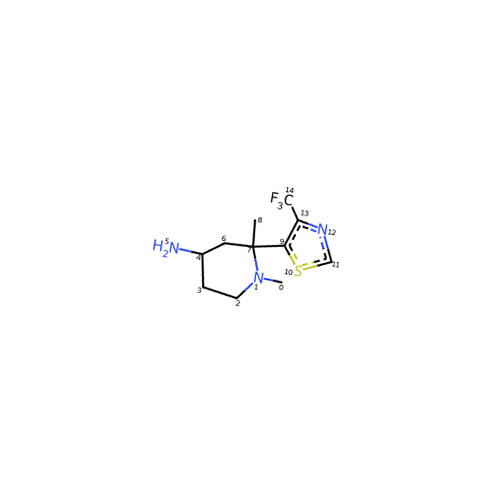 CN1CCC(N)CC1(C)c1scnc1C(F)(F)F